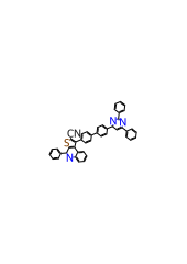 N#Cc1sc2c(-c3ccccc3)nc3ccccc3c2c1-c1ccc(-c2ccc(-c3cc(-c4ccccc4)nc(-c4ccccc4)n3)cc2)cc1